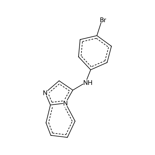 Brc1ccc(Nc2cnc3ccccn23)cc1